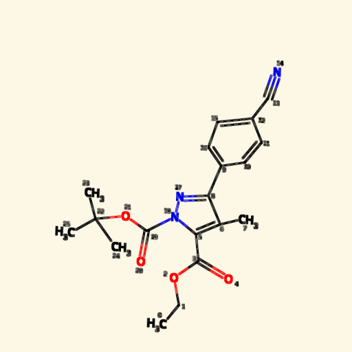 CCOC(=O)c1c(C)c(-c2ccc(C#N)cc2)nn1C(=O)OC(C)(C)C